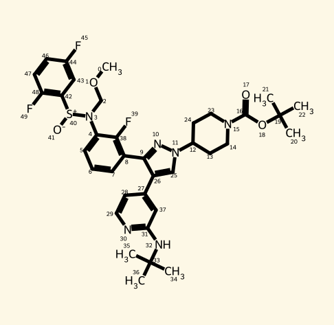 COCN(c1cccc(-c2nn(C3CCN(C(=O)OC(C)(C)C)CC3)cc2-c2ccnc(NC(C)(C)C)c2)c1F)[S+]([O-])c1cc(F)ccc1F